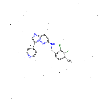 Cc1ccc(CNc2ccc3ncc(-c4ccncc4)n3n2)c(F)c1F